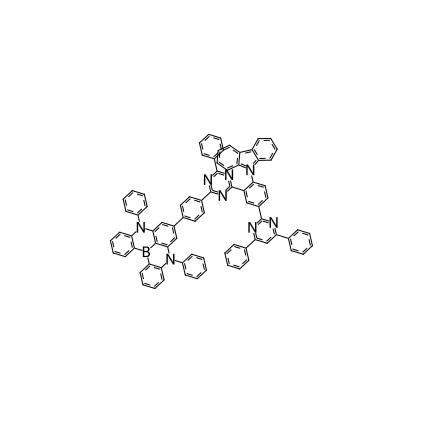 c1ccc(-c2cc(-c3ccccc3)nc(-c3ccc(-n4c5ccccc5c5ccccc54)c(-c4nc(-c5ccccc5)nc(-c5ccc(-c6cc7c8c(c6)N(c6ccccc6)c6ccccc6B8c6ccccc6N7c6ccccc6)cc5)n4)c3)n2)cc1